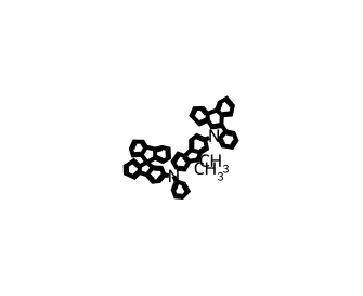 CC1(C)c2cc(N(c3ccccc3)c3ccc4c(c3)C3(c5ccccc5-c5ccccc53)c3ccccc3-4)ccc2-c2ccc(-n3c4ccccc4c4c5ccccc5c5ccccc5c43)cc21